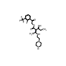 CCC(=N)/C(C(=O)OCC(=O)c1cccc(C(F)(F)F)c1F)=C(/N)NCCN1CCNCC1